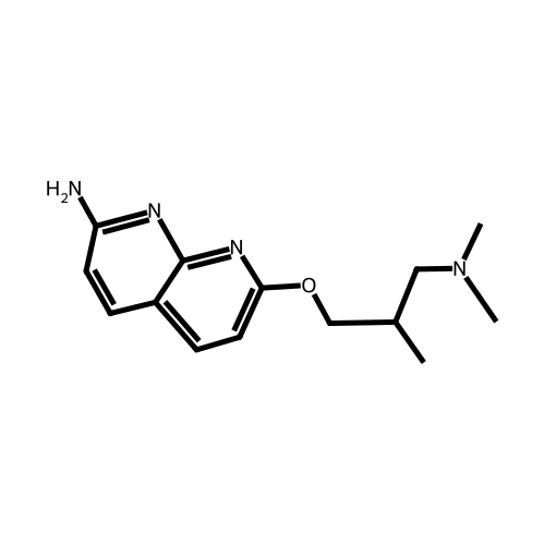 CC(COc1ccc2ccc(N)nc2n1)CN(C)C